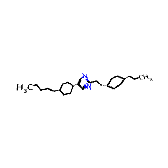 CCCCC[C@H]1CC[C@H](c2cnc(CC[C@H]3CC[C@H](CCC)CC3)nc2)CC1